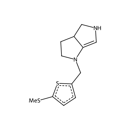 CSc1ccc(CN2CCC3CNC=C32)s1